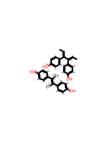 C/C=C(/C(=C/C)c1ccc(O)cc1)c1ccc(O)cc1.CC/C(=C(/CC)c1ccc(O)cc1)c1ccc(O)cc1